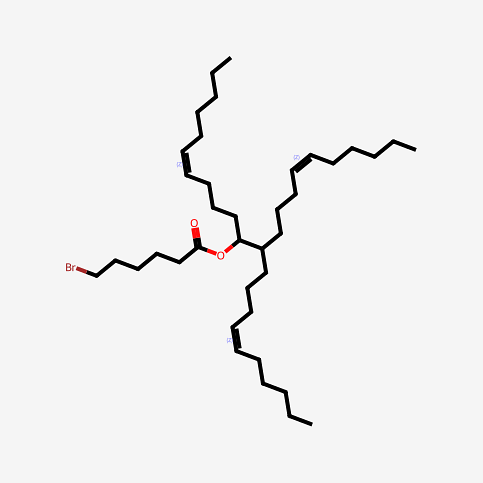 CCCCC/C=C\CCCC(CCC/C=C\CCCCC)C(CCC/C=C\CCCCC)OC(=O)CCCCCBr